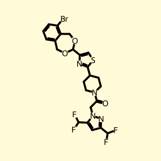 O=C(Cn1nc(C(F)F)cc1C(F)F)N1CCC(c2nc(C3OCc4cccc(Br)c4CO3)cs2)CC1